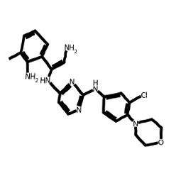 Cc1cccc(/C(=C\N)Nc2ccnc(Nc3ccc(N4CCOCC4)c(Cl)c3)n2)c1N